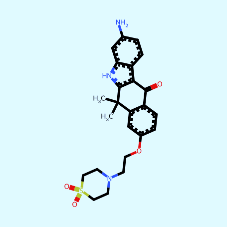 CC1(C)c2cc(OCCN3CCS(=O)(=O)CC3)ccc2C(=O)c2c1[nH]c1cc(N)ccc21